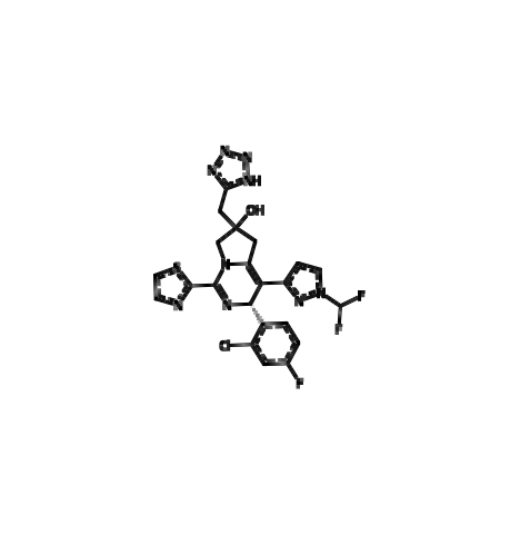 OC1(Cc2nnn[nH]2)CC2=C(c3ccn(C(F)F)n3)[C@H](c3ccc(F)cc3Cl)N=C(c3nccs3)N2C1